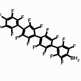 Bc1c(F)c(F)c(-c2c(F)c(F)c(-c3c(F)c(F)c(-c4c(F)c(F)c(F)c(F)c4F)c(F)c3F)c(F)c2F)c(F)c1F